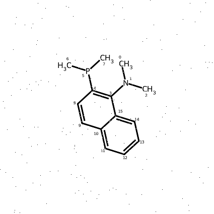 CN(C)c1c(P(C)C)ccc2ccccc12